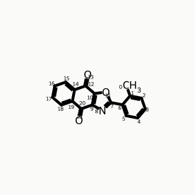 Cc1ccccc1-c1nc2c(o1)C(=O)c1ccccc1C2=O